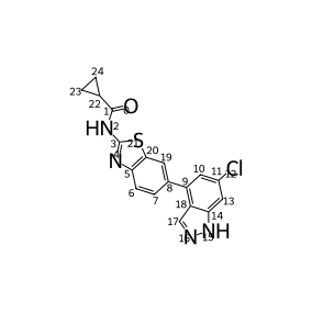 O=C(Nc1nc2ccc(-c3cc(Cl)cc4[nH]ncc34)cc2s1)C1CC1